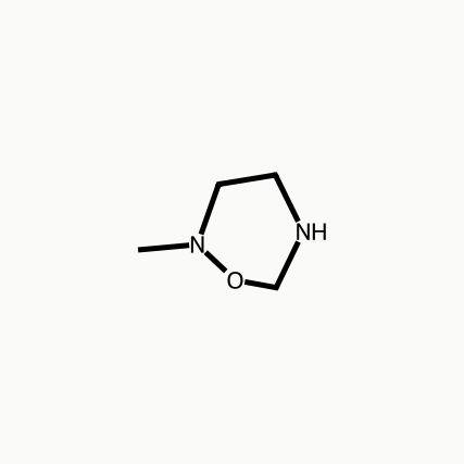 CN1CCNCO1